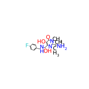 Cn1c(C(C)(C)N)nc(C(O)NCc2ccc(F)cc2)c(O)c1=O